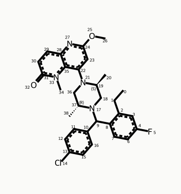 CCc1cc(F)ccc1C(c1ccc(Cl)cc1)N1C[C@H](C)N(c2cc(OC)nc3ccc(=O)n(C)c23)C[C@H]1C